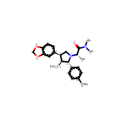 CCC[C@@H](C(=O)N(CCC)CCC)N1C[C@H](c2ccc3c(c2)OCO3)[C@H](C(=O)OCC)[C@H]1c1ccc(OC)cc1